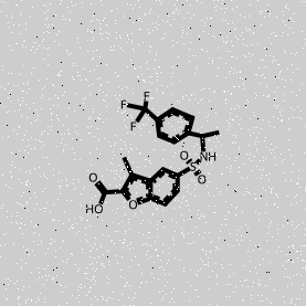 Cc1c(C(=O)O)oc2ccc(S(=O)(=O)NC(C)c3ccc(C(F)(F)F)cc3)cc12